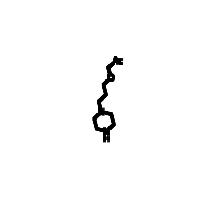 CC(=O)COCCCN1CCNCC1